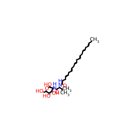 CCC=CCC=CCC=CCC=CCC=CCC=CCCC(=O)NC(C(=O)N[C@@H]1[C@@H](O)[C@H](O)[C@@H](CO)O[C@H]1O)C(C)C